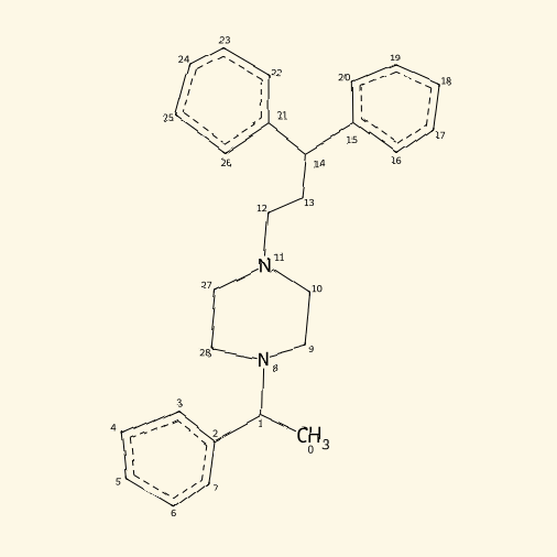 CC(c1ccccc1)N1CCN(CCC(c2ccccc2)c2ccccc2)CC1